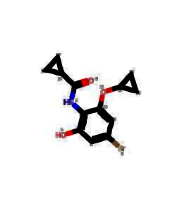 O=C(Nc1c(O)cc(Br)cc1OC1CC1)C1CC1